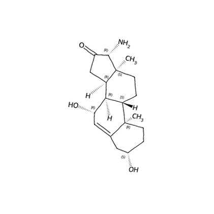 C[C@]12CC[C@H]3[C@H]([C@H]1CC(=O)[C@@H]2N)[C@@H](O)C=C1C[C@@H](O)CC[C@@]13C